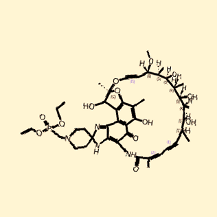 CCOP(=O)(CN1CCC2(CC1)N=C1C(=C3NC(=O)/C(C)=C\C=C\[C@H](C)[C@H](O)[C@@H](C)[C@@H](O)[C@@H](C)[C@H](O)[C@H](C)[C@@H](OC)/C=C/O[C@@]4(C)Oc5c(C)c(O)c(c1c5C4O)C3=O)N2)OCC